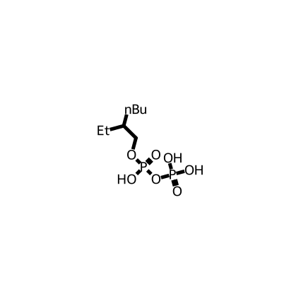 CCCCC(CC)COP(=O)(O)OP(=O)(O)O